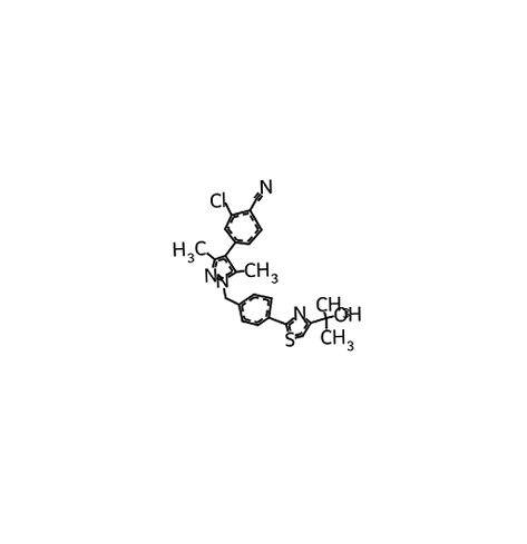 Cc1nn(Cc2ccc(-c3nc(C(C)(C)O)cs3)cc2)c(C)c1-c1ccc(C#N)c(Cl)c1